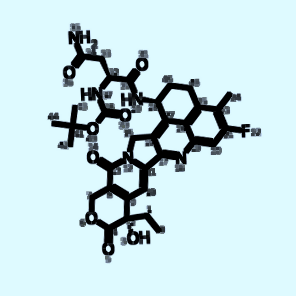 CC[C@@]1(O)C(=O)OCc2c1cc1n(c2=O)Cc2c-1nc1cc(F)c(C)c3c1c2[C@@H](NC(=O)[C@H](CC(N)=O)NC(=O)OC(C)(C)C)CC3